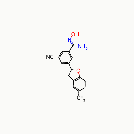 N#Cc1cc(/C(N)=N/O)cc(C2Cc3cc(C(F)(F)F)ccc3O2)c1